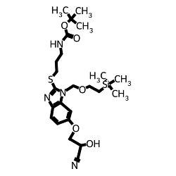 CC(C)(C)OC(=O)NCCCSc1nc2ccc(OCC(O)C#N)cc2n1COCC[Si](C)(C)C